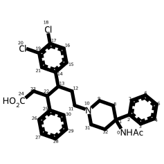 CC(=O)NC1(c2ccccc2)CCN(CCC(c2ccc(Cl)c(Cl)c2)C(CC(=O)O)c2ccccc2)CC1